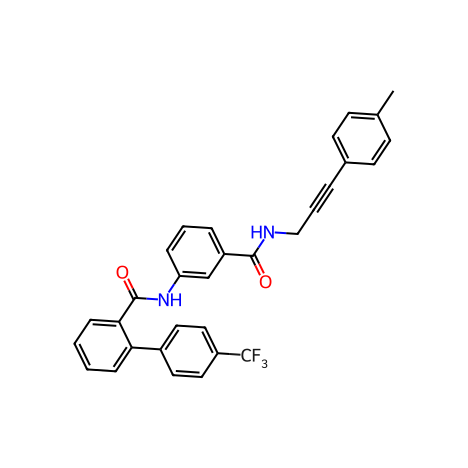 Cc1ccc(C#CCNC(=O)c2cccc(NC(=O)c3ccccc3-c3ccc(C(F)(F)F)cc3)c2)cc1